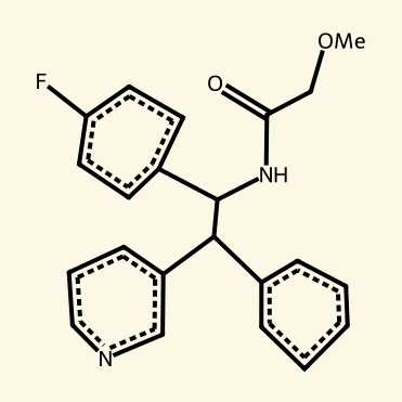 COCC(=O)NC(c1ccc(F)cc1)C(c1ccccc1)c1cccnc1